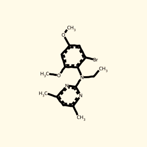 CCN(c1nc(C)cc(C)n1)c1c(Br)cc(OC)cc1OC